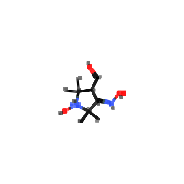 CC1(C)/C(=N/O)C(C=O)C(C)(C)[NH+]1[O-]